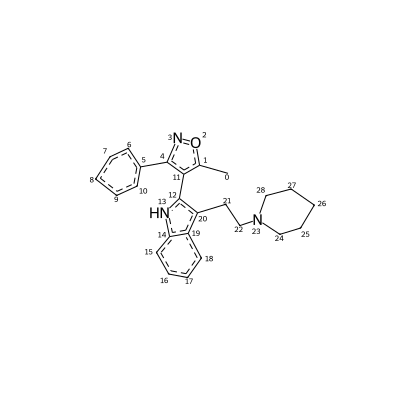 Cc1onc(-c2ccccc2)c1-c1[nH]c2ccccc2c1CCN1CCCCC1